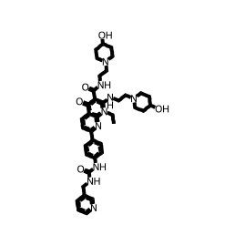 CCn1c(NCCN2CCC(O)CC2)c(C(=O)NCCN2CCC(O)CC2)c(=O)c2ccc(-c3ccc(NC(=O)NCc4cccnc4)cc3)nc21